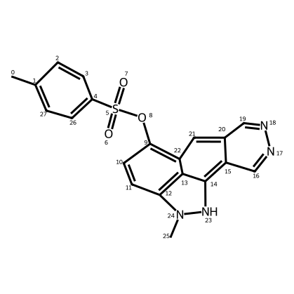 Cc1ccc(S(=O)(=O)Oc2ccc3c4c(c5cnncc5cc24)NN3C)cc1